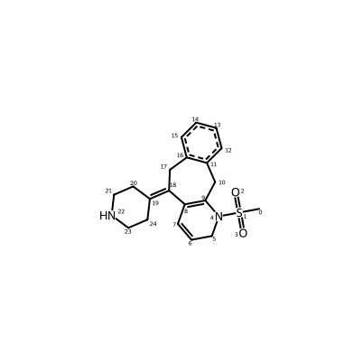 CS(=O)(=O)N1CC=CC2=C1Cc1ccccc1CC2=C1CCNCC1